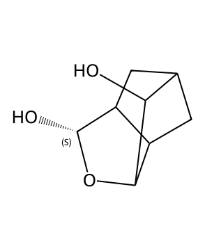 OC1C2CC3C1O[C@H](O)C3C2